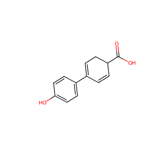 O=C(O)C1C=CC(c2ccc(O)cc2)=CC1